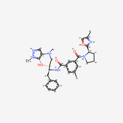 CCn1cc(N(C)C[C@@H](O)[C@H](Cc2ccccc2)NC(=O)c2cc(C)cc(C(=O)N3CCC[C@@H]3c3nc(C)co3)c2)cn1